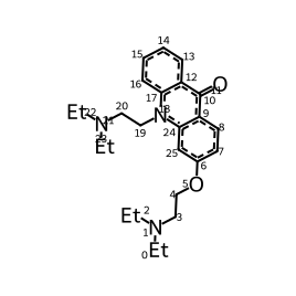 CCN(CC)CCOc1ccc2c(=O)c3ccccc3n(CCN(CC)CC)c2c1